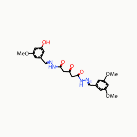 COc1cc(O)cc(/C=N/NC(=O)CC(=O)CC(=O)N/N=C/c2cc(OC)cc(OC)c2)c1